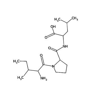 CCC(C)C(N)C(=O)N1CCCC1C(=O)NC(CC(C)C)C(=O)O